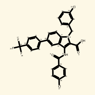 O=C(Nc1c(C(=O)O)n(Cc2cccc(Cl)c2)c2ccc(-c3ccc(C(F)(F)F)cc3)cc12)c1ccc(Cl)cc1